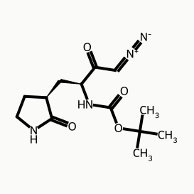 CC(C)(C)OC(=O)N[C@@H](C[C@@H]1CCNC1=O)C(=O)C=[N+]=[N-]